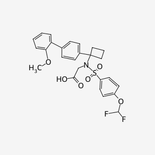 COc1ccccc1-c1ccc(C2(N(CC(=O)O)S(=O)(=O)c3ccc(OC(F)F)cc3)CCC2)cc1